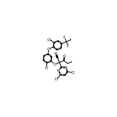 CCC(=O)C(C#N)(Oc1cc(Oc2ccc(C(F)(F)F)cc2Cl)ccc1Cl)c1nc(Cl)cc(Cl)n1